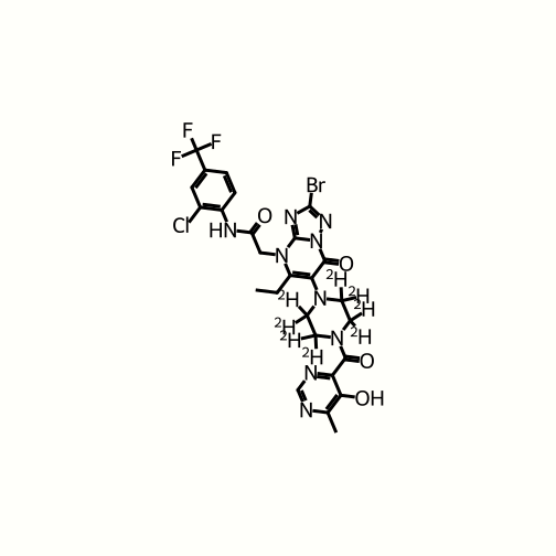 [2H]C1([2H])N(C(=O)c2ncnc(C)c2O)C([2H])([2H])C([2H])([2H])N(c2c(CC)n(CC(=O)Nc3ccc(C(F)(F)F)cc3Cl)c3nc(Br)nn3c2=O)C1([2H])[2H]